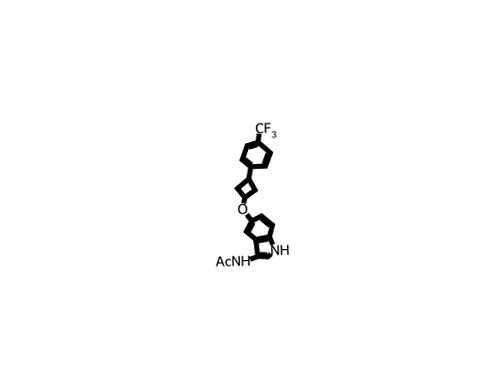 CC(=O)Nc1c[nH]c2ccc(OC3CC(c4ccc(C(F)(F)F)cc4)C3)cc12